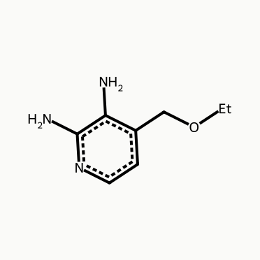 CCOCc1ccnc(N)c1N